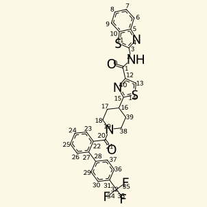 O=C(Nc1nc2ccccc2s1)c1csc(C2CCN(C(=O)c3ccccc3-c3ccc(C(F)(F)F)cc3)CC2)n1